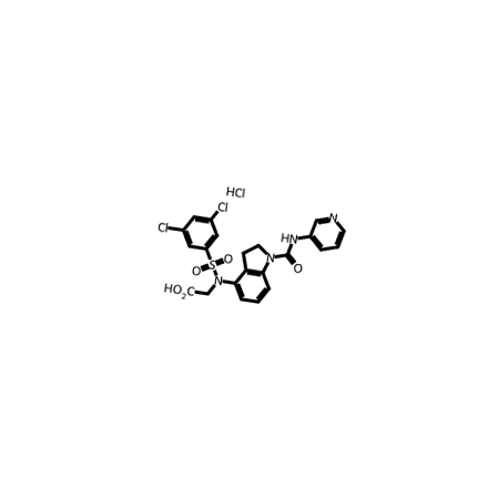 Cl.O=C(O)CN(c1cccc2c1CCN2C(=O)Nc1cccnc1)S(=O)(=O)c1cc(Cl)cc(Cl)c1